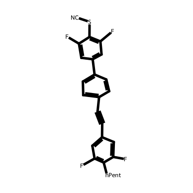 CCCCCc1c(F)cc(C#Cc2ccc(-c3cc(F)c(SC#N)c(F)c3)cc2)cc1F